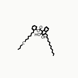 CCCCCCCCCCCCc1ccccc1OC(=O)c1c(O)c(O)c(CCCCCCCCCCCC)c2ccccc12